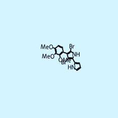 COc1ccc(-c2c(Br)[nH]c(-c3ccc[nH]3)c2Br)c(OC)c1OC